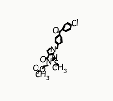 CSc1nc2c(ccn2Cc2ccc(C(=O)c3ccc(Cl)cc3)cc2)c(=O)n1CCOC(C)=O